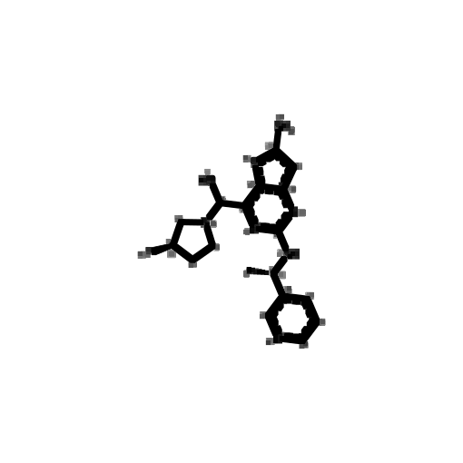 C[C@H](Nc1nc(C(O)N2CC[C@@H](F)C2)c2sc(N)cc2n1)c1cccnc1